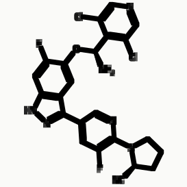 N#C[C@@H]1CCCN1c1ncc(-c2n[nH]c3cc(F)c(O[C@H](N)c4c(Cl)cncc4Cl)cc23)cc1F